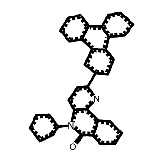 O=c1c2ccccc2c2nc(-c3ccc4c5ccccc5c5ccccc5c4c3)ccc2n1-c1ccccc1